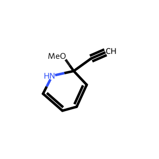 C#CC1(OC)C=CC=CN1